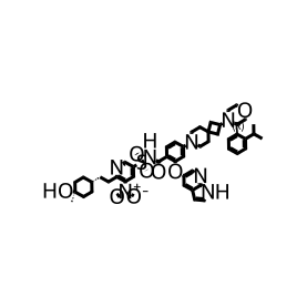 CC(C)c1ccccc1[C@@H]1COCCN1C1CC2(CCN(c3ccc(C(=O)NS(=O)(=O)c4cnc(CC[C@H]5CC[C@](C)(O)CC5)c([N+](=O)[O-])c4)c(Oc4cnc5[nH]ccc5c4)c3)CC2)C1